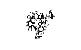 CC(=O)NC[C@H]1CN([C@H](C)c2ccc(OC(F)F)cc2)C(=O)c2c3c(nn21)C[C@@H](C)N(C(=O)c1ccc(Cl)c(C#N)c1)C3